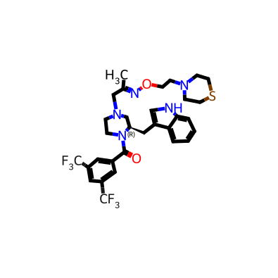 CC(CN1CCN(C(=O)c2cc(C(F)(F)F)cc(C(F)(F)F)c2)[C@H](Cc2c[nH]c3ccccc23)C1)=NOCCN1CCSCC1